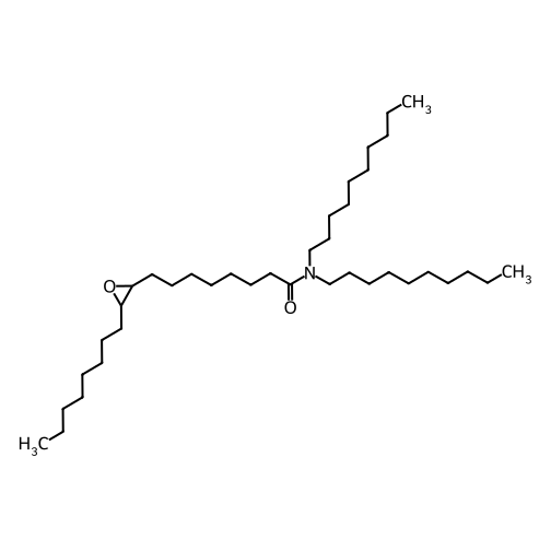 CCCCCCCCCCN(CCCCCCCCCC)C(=O)CCCCCCCC1OC1CCCCCCCC